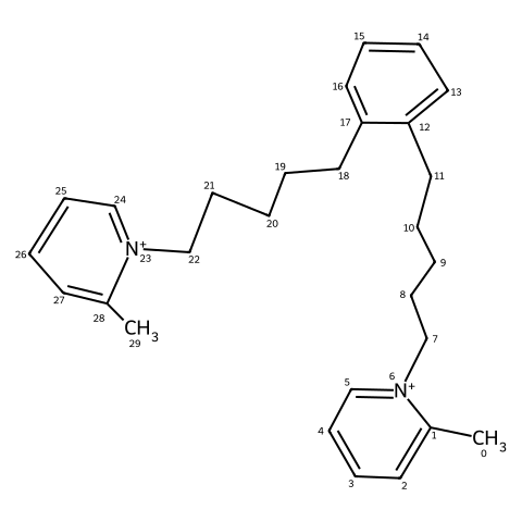 Cc1cccc[n+]1CCCCCc1ccccc1CCCCC[n+]1ccccc1C